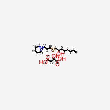 CCCCCCC(O)CSCCCN1CCCCC1.O=C(O)CC(O)C(=O)O